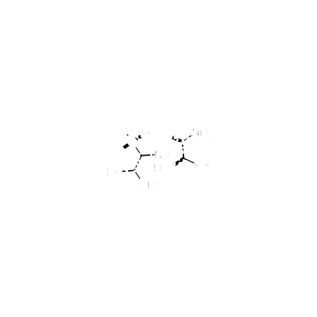 C=C(C)C(N)=O.CC(C)C(N)S(=O)(=O)O